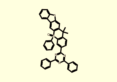 CC1(C)c2ccc(-c3nc(-c4ccccc4)nc(-c4ccccc4)n3)cc2P(=O)(c2ccccc2)c2cc3c(cc21)sc1ccccc13